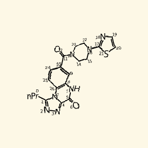 CCCc1nnc2c(=O)[nH]c3cc(C(=O)N4CCN(c5nccs5)CC4)ccc3n12